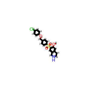 COc1cc2c(cc1S(=O)(=O)c1ccc(COc3ccc(Cl)cc3)cc1)CNCC2